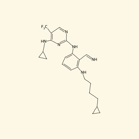 N=Cc1c(NCCCCC2CC2)cccc1Nc1ncc(C(F)(F)F)c(NC2CC2)n1